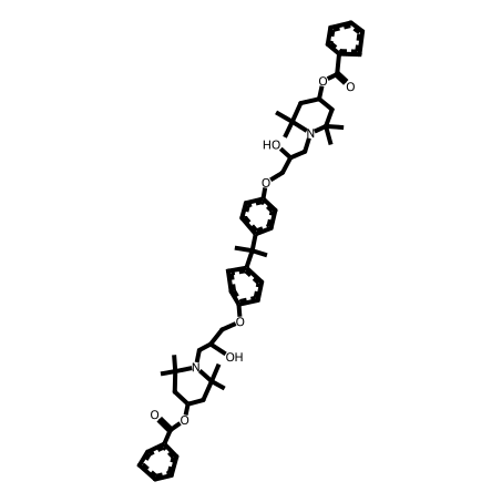 CC(C)(c1ccc(OCC(O)CN2C(C)(C)CC(OC(=O)c3ccccc3)CC2(C)C)cc1)c1ccc(OCC(O)CN2C(C)(C)CC(OC(=O)c3ccccc3)CC2(C)C)cc1